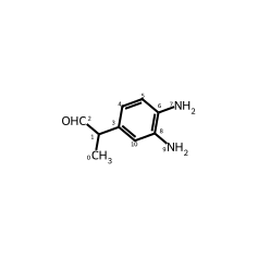 CC(C=O)c1ccc(N)c(N)c1